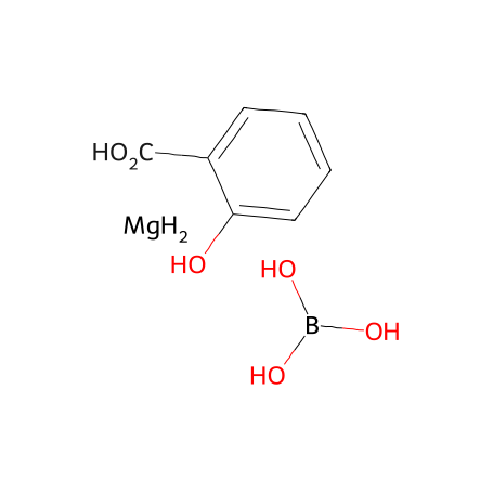 O=C(O)c1ccccc1O.OB(O)O.[MgH2]